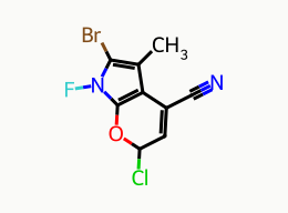 Cc1c2c(n(F)c1Br)OC(Cl)C=C2C#N